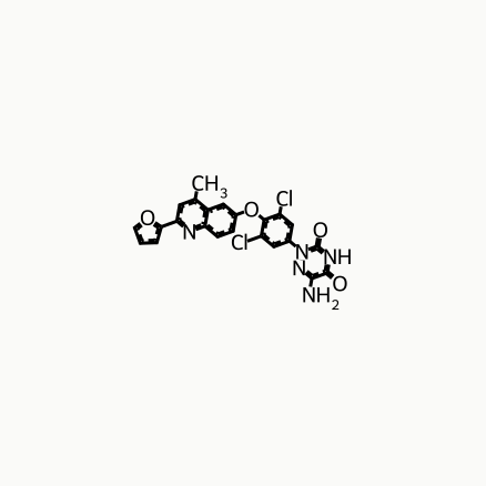 Cc1cc(-c2ccco2)nc2ccc(Oc3c(Cl)cc(-n4nc(N)c(=O)[nH]c4=O)cc3Cl)cc12